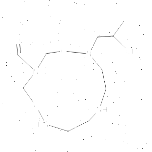 CC(O)CN1CCNCCNCCN(C=O)CC1